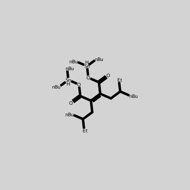 CCCCC(CC)C/C(C(=O)[O][SnH]([CH2]CCC)[CH2]CCC)=C(\CC(CC)CCCC)C(=O)[O][SnH]([CH2]CCC)[CH2]CCC